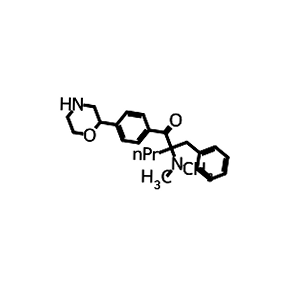 CCCC(Cc1ccccc1)(C(=O)c1ccc(C2CNCCO2)cc1)N(C)C